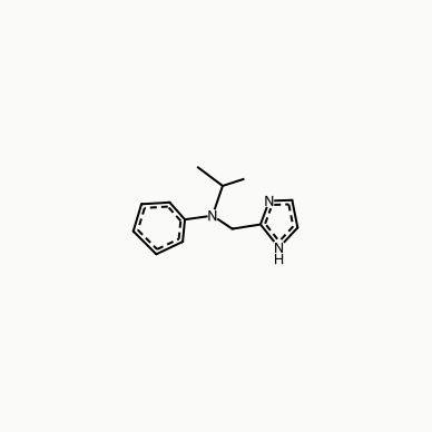 CC(C)N(Cc1ncc[nH]1)c1ccccc1